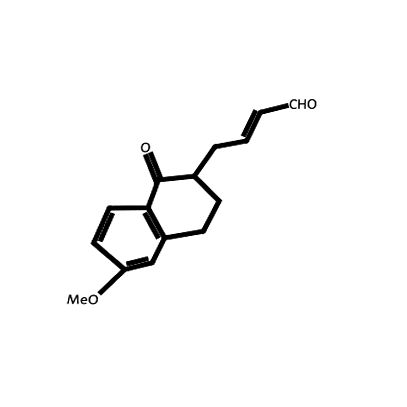 COc1ccc2c(c1)CCC(CC=CC=O)C2=O